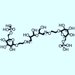 O=P(O)(O)OC[C@H]1OC(OCCO/N=C\C(O)C(O)OC(/C=N/OCCOC2O[C@H](COP(=O)(O)O)[C@@H](O)[C@H](O)[C@@H]2O)CO)[C@@H](O)[C@@H](O)[C@@H]1O